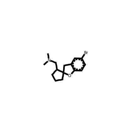 CN(C)CC1CCCC12Cc1cc(Br)ccc1O2